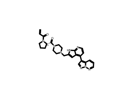 C=CC(=O)N1CCC[C@H]1C(=O)N1CCN(Cc2cc3c(-c4cnn5ncccc45)ccnc3[nH]2)CC1